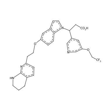 O=C(O)CC(c1cncc(OCC(F)(F)F)c1)n1ccc2cc(OCCc3ccc4c(n3)NCCC4)ccc21